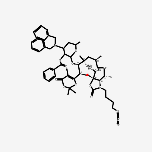 CC[C@@H](O)[C@@]1(C)OC(=O)N(CCCCN=[N+]=[N-])[C@@H]1[C@@H](C)NC[C@H](C)C[C@@](C)(OC)[C@H](OC1OC(C)CC(N(Cc2ccccc2)Cc2ccccc2)C1OC(=O)c1ccccc1)[C@@H](C)C1=C(C)C(=O)OC(C)(C)O1